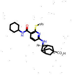 CCCSc1nc(N[C@H]2C3CC4C[C@@](C(=O)O)(C3)CC42)ccc1C(=O)NC1CCCCC1